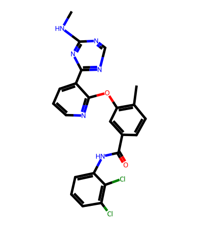 CNc1ncnc(-c2cccnc2Oc2cc(C(=O)Nc3cccc(Cl)c3Cl)ccc2C)n1